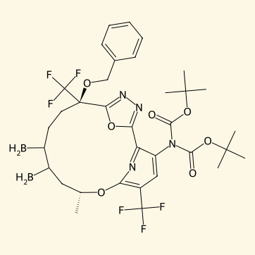 BC1CC[C@](OCc2ccccc2)(C(F)(F)F)c2nnc(o2)-c2nc(c(C(F)(F)F)cc2N(C(=O)OC(C)(C)C)C(=O)OC(C)(C)C)O[C@H](C)CC1B